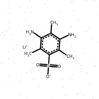 Cc1c(N)c(C)c(S(=O)(=O)[O-])c(C)c1N.[Li+]